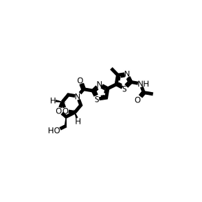 CC(=O)Nc1nc(C)c(-c2csc(C(=O)N3C[C@H]4O[C@H](CO)[C@@H](C3)O4)n2)s1